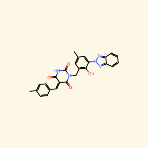 Cc1ccc(/C=C2\C(=O)NC(=O)N(Cc3cc(C)cc(-n4nc5ccccc5n4)c3O)C2=O)cc1